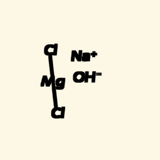 [Cl][Mg][Cl].[Na+].[OH-]